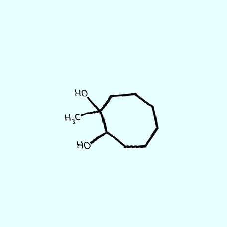 CC1(O)CCCCCCC1O